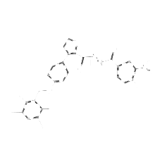 Cc1cc(C)c(C)c(COc2ccc(-c3ccoc3C(=O)NNC(=O)c3ccc(O)c([N+](=O)[O-])c3)cc2)c1C